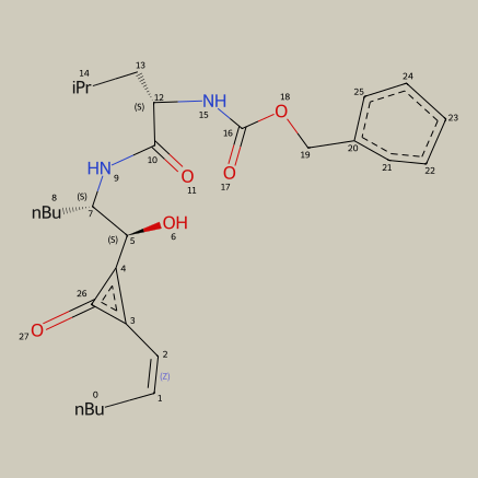 CCCC/C=C\c1c([C@H](O)[C@H](CCCC)NC(=O)[C@H](CC(C)C)NC(=O)OCc2ccccc2)c1=O